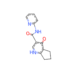 O=C(Nc1ccccn1)c1c[nH]c2c(c1=O)CCC2